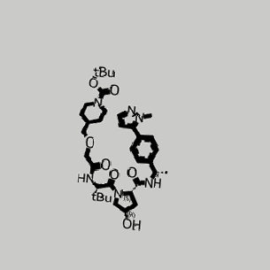 C[C@H](NC(=O)[C@@H]1C[C@@H](O)CN1C(=O)[C@@H](NC(=O)COCC1CCN(C(=O)OC(C)(C)C)CC1)C(C)(C)C)c1ccc(-c2ccnn2C)cc1